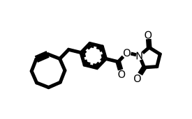 O=C(ON1C(=O)CCC1=O)c1ccc(CC2C#CCCCCC2)cc1